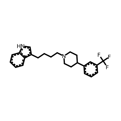 FC(F)(F)c1cccc(C2CCN(CCCCc3c[nH]c4ccccc34)CC2)c1